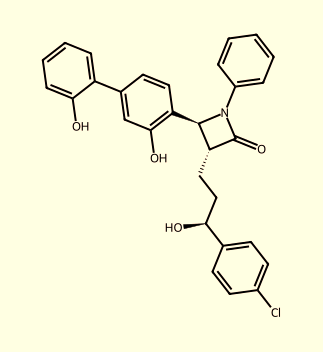 O=C1[C@H](CC[C@H](O)c2ccc(Cl)cc2)[C@@H](c2ccc(-c3ccccc3O)cc2O)N1c1ccccc1